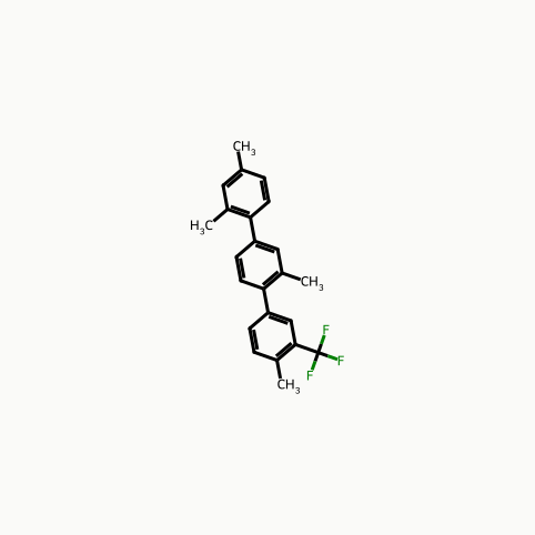 Cc1ccc(-c2ccc(-c3ccc(C)c(C(F)(F)F)c3)c(C)c2)c(C)c1